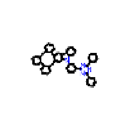 c1ccc(-c2nc(-c3ccccc3)nc(-c3cccc(-n4c5ccccc5c5cc6c(cc54)Cc4ccccc4-c4ccccc4Cc4ccccc4-6)c3)n2)cc1